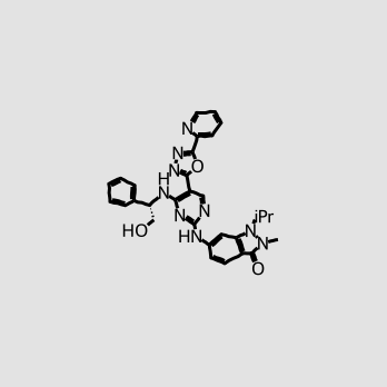 CC(C)n1c2cc(Nc3ncc(-c4nnc(-c5ccccn5)o4)c(N[C@H](CO)c4ccccc4)n3)ccc2c(=O)n1C